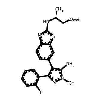 COC[C@H](C)Nc1nc2ccc(-c3c(-c4ccccc4F)nn(C)c3N)cc2s1